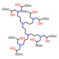 CCCCCCCCCCC(O)CN(CCCN(CCCN(CCCN(CC(O)CCCCCCCCCC)CC(O)CCCCCCCCCC)CCCN(CC(O)CCCCCCCCCC)CC(O)CCCCCCCCCC)CCCN(CC(O)CCCCCCCCCC)CC(O)CCCCCCCCCC)CC(O)CCCCCCCCCC